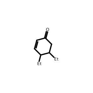 CCC1C=CC(=O)CC1CC